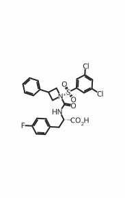 O=C(O)[C@H](Cc1ccc(F)cc1)NC(=O)[N+]1(S(=O)(=O)c2cc(Cl)cc(Cl)c2)CC(c2ccccc2)C1